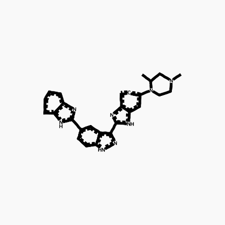 CC1CN(C)CCN1c1ccc2nc(-c3n[nH]c4ccc(-c5nc6ccccc6[nH]5)cc34)[nH]c2c1